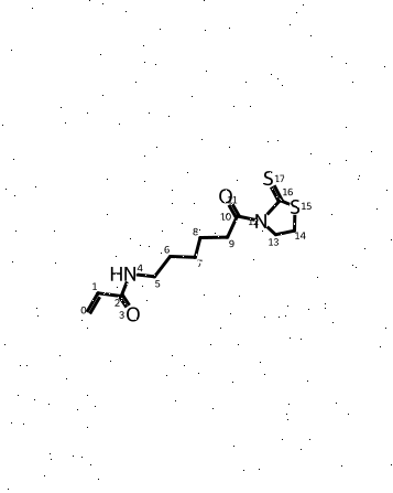 C=CC(=O)NCCCCCC(=O)N1CCSC1=S